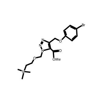 COC(=O)c1c(COc2ccc(Br)cc2)nnn1COCC[Si](C)(C)C